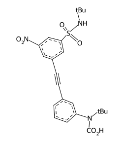 CC(C)(C)NS(=O)(=O)c1cc(C#Cc2cccc(N(C(=O)O)C(C)(C)C)c2)cc([N+](=O)[O-])c1